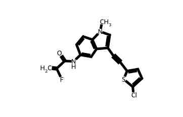 C=C(F)C(=O)Nc1ccc2c(c1)c(C#Cc1ccc(Cl)s1)cn2C